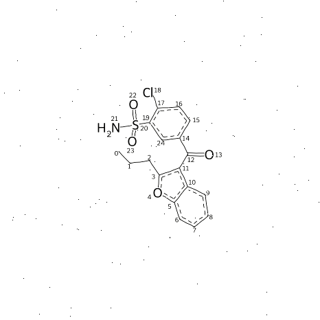 CCCc1oc2ccccc2c1C(=O)c1ccc(Cl)c(S(N)(=O)=O)c1